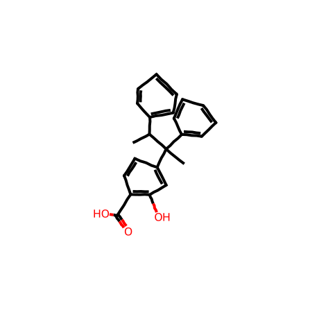 CC(c1ccccc1)C(C)(c1ccccc1)c1ccc(C(=O)O)c(O)c1